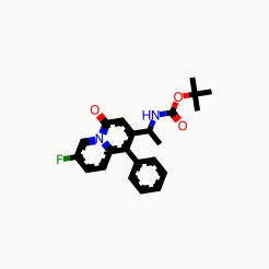 CC(NC(=O)OC(C)(C)C)c1cc(=O)n2cc(F)ccc2c1-c1ccccc1